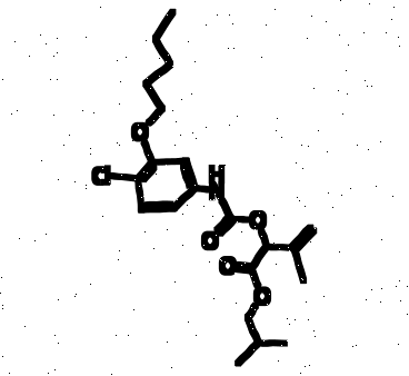 C=C(C)C(OC(=O)Nc1ccc(Cl)c(OCCCCC)c1)C(=O)OCC(C)C